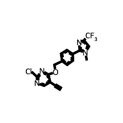 C#Cc1cnc(Cl)nc1OCc1ccc(-c2nc(C(F)(F)F)cn2C)cc1